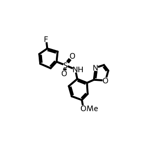 COc1ccc(NS(=O)(=O)c2cccc(F)c2)c(-c2ncco2)c1